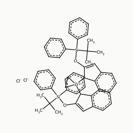 CC(C)(C)[Si](OC1=Cc2ccccc2[CH]1[Zr+2]1([CH]2C(O[Si](c3ccccc3)(c3ccccc3)C(C)(C)C)=Cc3ccccc32)[CH2][CH2]1)(c1ccccc1)c1ccccc1.[Cl-].[Cl-]